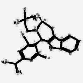 CC(N)c1cc(F)c([C@@H]2c3[nH]c4ccccc4c3C[C@@H](C)N2CC(C)(C)F)c(F)c1